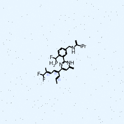 C=C1C=C(C(/C=C/C)=C/C=C(\C)C(F)F)N=C(c2cc(CNC(=C)C(C)C)ccc2C(F)P)N1